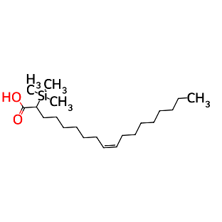 CCCCCCCC/C=C\CCCCCCC(C(=O)O)[Si](C)(C)C